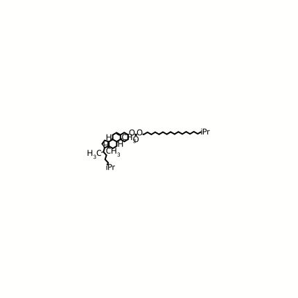 CC(C)CCCCCCCCCCCCCCCOC(=O)O[C@H]1CC[C@@]2(C)C(=CC[C@H]3[C@@H]4CC[C@H]([C@H](C)CCCC(C)C)[C@@]4(C)CC[C@@H]32)C1